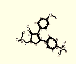 COc1ccc(C2=C(c3ccc(S(C)(=O)=O)cc3)CC(CN(C)C)C2=O)cc1